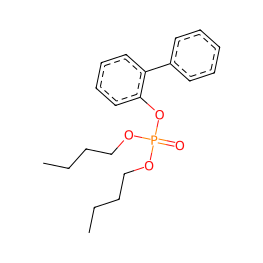 CCCCOP(=O)(OCCCC)Oc1ccccc1-c1ccccc1